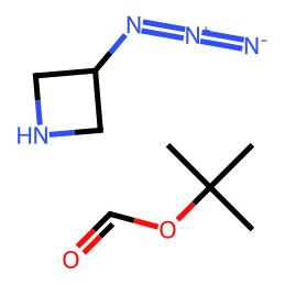 CC(C)(C)OC=O.[N-]=[N+]=NC1CNC1